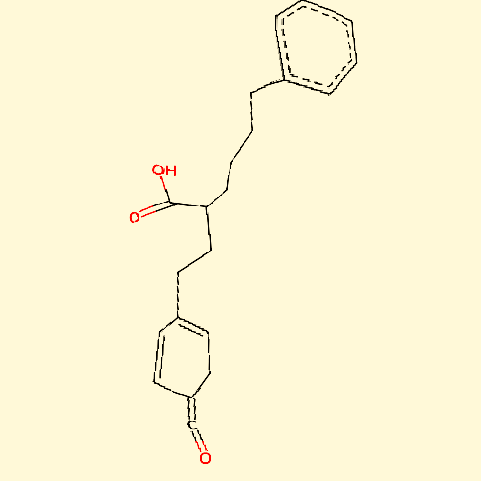 O=C=C1C=CC(CCC(CCCCc2ccccc2)C(=O)O)=CC1